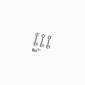 CC[O-].CC[O-].CC[O-].[Ru+3]